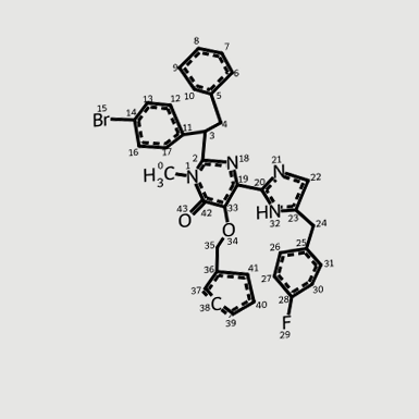 Cn1c(C(Cc2ccccc2)c2ccc(Br)cc2)nc(-c2ncc(Cc3ccc(F)cc3)[nH]2)c(OCc2ccccc2)c1=O